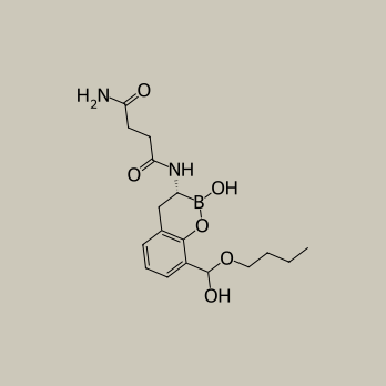 CCCCOC(O)c1cccc2c1OB(O)[C@@H](NC(=O)CCC(N)=O)C2